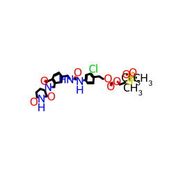 CC(C)(COC(=O)OCCc1ccc(NC(=O)NCc2ccc3c(c2)CN(C2CCC(=O)NC2=O)C3=O)cc1Cl)SS(C)(=O)=O